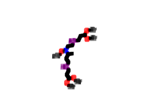 CCCON(CCPCCC(OC(C)C)OC(C)C)C(C)CCPCCC(OC(C)C)OC(C)C